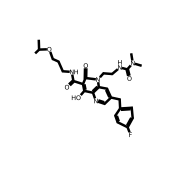 CC(C)OCCCNC(=O)c1c(O)c2ncc(Cc3ccc(F)cc3)cc2n(CCNC(=O)N(C)C)c1=O